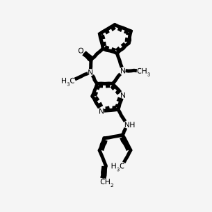 C=C/C=C\C(=C/C)Nc1ncc2c(n1)N(C)c1ccccc1C(=O)N2C